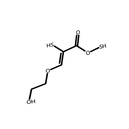 O=C(OS)C(S)=COCCO